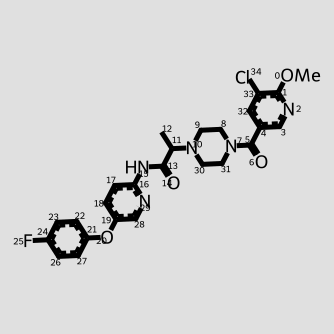 COc1ncc(C(=O)N2CCN(C(C)C(=O)Nc3ccc(Oc4ccc(F)cc4)cn3)CC2)cc1Cl